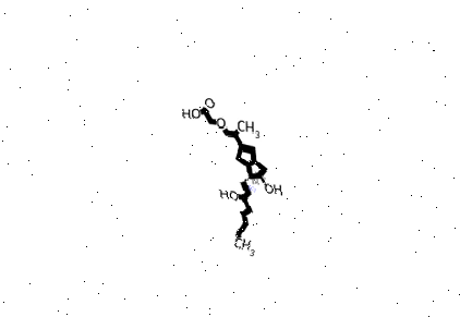 CCCCCC(O)/C=C/[C@@H]1C2CC(C(C)COCC(=O)O)=CC2C[C@H]1O